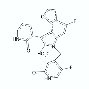 O=C(O)c1c(-c2ccc[nH]c2=O)c2c3occc3c(F)cc2n1Cc1cc(=O)[nH]cc1F